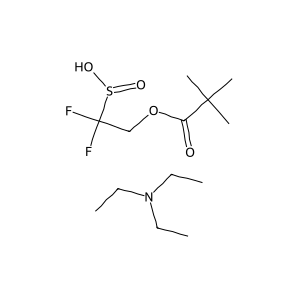 CC(C)(C)C(=O)OCC(F)(F)S(=O)O.CCN(CC)CC